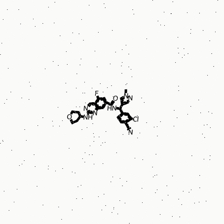 Cn1cc(C(NC(=O)c2cc(F)c3cnc(NC4CCOCC4)nc3c2)c2ccc(C#N)c(Cl)c2)cn1